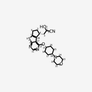 N#CC(O)C[C@H]1CCc2sc3ncnc(O[C@H]4CC[C@H](N5CCOCC5)CC4)c3c21